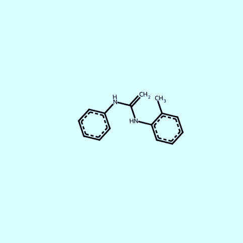 C=C(Nc1ccccc1)Nc1ccccc1C